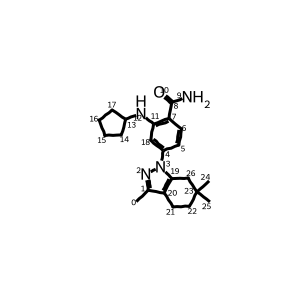 Cc1nn(-c2ccc(C(N)=O)c(NC3CCCC3)c2)c2c1CCC(C)(C)C2